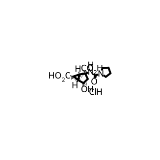 Cl.O=C(O)[C@H]1[C@H]2[C@@H]1[C@](NC(=O)N1CCCC1)(C(=O)O)C[C@@H]2O